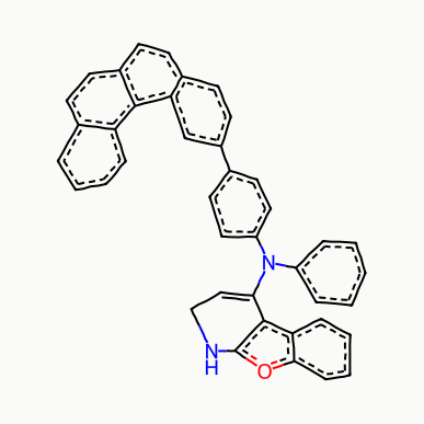 C1=C(N(c2ccccc2)c2ccc(-c3ccc4ccc5ccc6ccccc6c5c4c3)cc2)c2c(oc3ccccc23)NC1